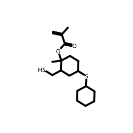 C=C(C)C(=O)OC1(C)CCC(SC2CCCCC2)CC1CS